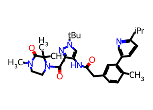 Cc1ccc(CC(=O)Nc2cn(C(C)(C)C)nc2C(=O)N2CCN(C)C(=O)C2(C)C)cc1-c1ccc(C(C)C)nc1